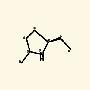 CC[C@@H]1CCC(C)N1